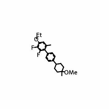 CCOc1cc(C)c(-c2ccc(C3CCC(C)(OC)CC3)cc2)c(F)c1F